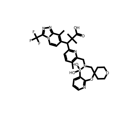 Cc1ccc(C(c2ccn3c(C(F)(F)F)nnc3c2C)C(C)(C)C(=O)O)nc1CN1CC2(CCOCC2)Oc2ncccc2S1(O)O